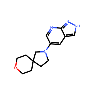 c1nc2n[nH]cc2cc1N1CCC2(CCOCC2)C1